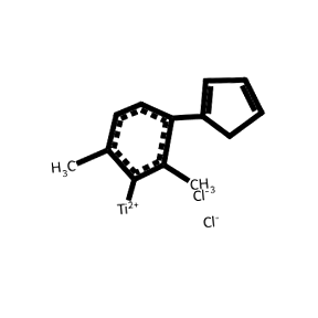 Cc1ccc(C2=CC=CC2)c(C)[c]1[Ti+2].[Cl-].[Cl-]